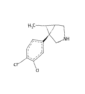 CC1C2CNC[C@]12c1ccc(Cl)c(Cl)c1